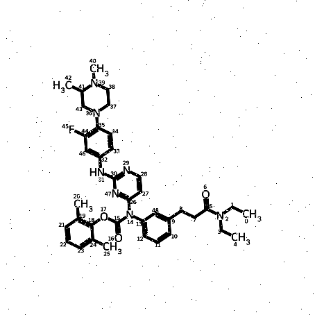 CCN(CC)C(=O)CCc1cccc(N(C(=O)Oc2c(C)cccc2C)c2ccnc(Nc3ccc(N4CCN(C)C(C)C4)c(F)c3)n2)c1